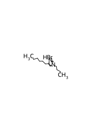 Br.CCCCCCc1cn(CCCC)cn1